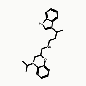 CC(CCNCC1CN(C(C)C)c2ccccc2O1)c1c[nH]c2ccccc12